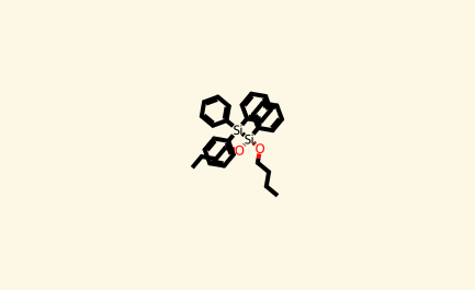 CCCCO[Si](OCCCC)(c1ccccc1)[Si](c1ccccc1)(c1ccccc1)c1ccccc1